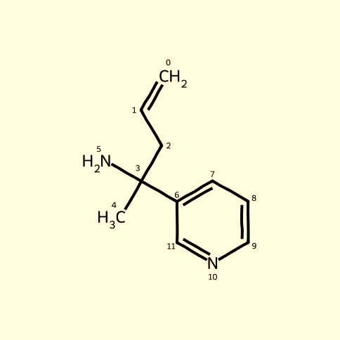 C=CCC(C)(N)c1cccnc1